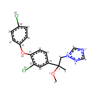 COC(C)(Cn1cncn1)c1ccc(Oc2ccc(Cl)cc2)c(Cl)c1